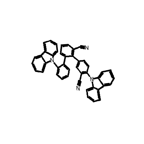 N#Cc1cc(-c2c(C#N)cccc2-c2ccccc2-n2c3ccccc3c3ccccc32)ccc1-n1c2ccccc2c2ccccc21